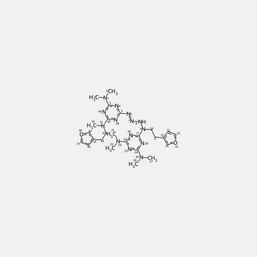 CN(C)c1nc(N=NNN(CCc2ccoc2)c2nc(N(C)C)nc(N(C)C)n2)nc(N(C)CCc2ccoc2)n1